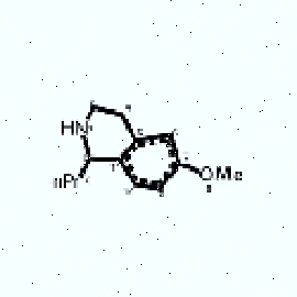 CCCC1NCCc2cc(OC)ccc21